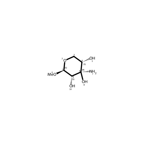 CO[C@H]1OC[C@H](O)[C@@](N)(O)[C@@H]1O